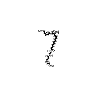 CCCCCC(OC(=O)C[N+](C)(C)CCOC(C)=O)C(O)C/C=C\CCCCCCCC(=O)NCCNC(=O)CC[N+](C)(C)CCOC(C)=O